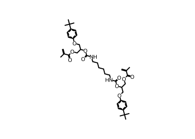 C=C(C)C(=O)OCC(COc1ccc(C(C)(C)C)cc1)OC(=O)NCCCCCCNC(=O)OC(COC(=O)C(=C)C)COc1ccc(C(C)(C)C)cc1